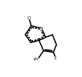 CC(C)C1=C(F)CCc2nc(Cl)ccc21